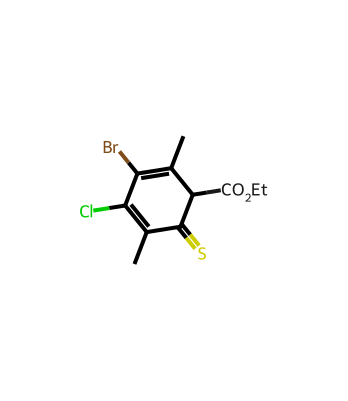 CCOC(=O)C1C(=S)C(C)=C(Cl)C(Br)=C1C